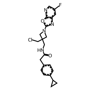 O=C(Cc1ccc(C2CC2)cc1)NCC1(CCl)CN(c2nc3cc(F)cnc3o2)C1